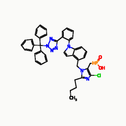 CCCCc1nc(Cl)c(C[PH](=O)O)n1Cc1cccc2c1ccn2-c1ccccc1-c1nnn(C(c2ccccc2)(c2ccccc2)c2ccccc2)n1